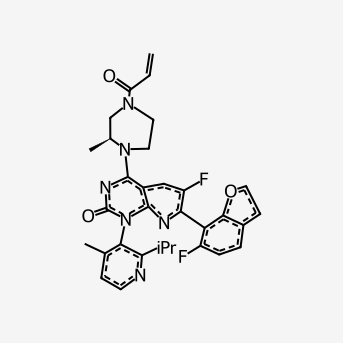 C=CC(=O)N1CCN(c2nc(=O)n(-c3c(C)ccnc3C(C)C)c3nc(-c4c(F)ccc5ccoc45)c(F)cc23)[C@@H](C)C1